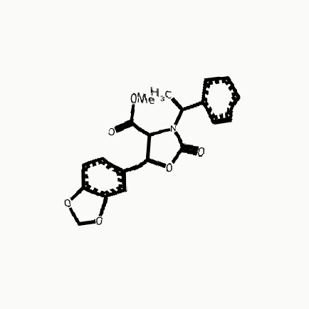 COC(=O)C1C(c2ccc3c(c2)OCO3)OC(=O)N1C(C)c1ccccc1